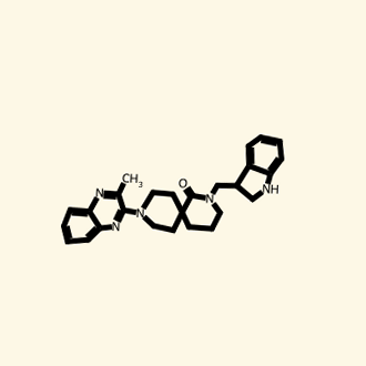 Cc1nc2ccccc2nc1N1CCC2(CCCN(CC3CNc4ccccc43)C2=O)CC1